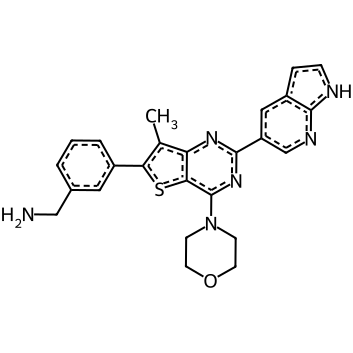 Cc1c(-c2cccc(CN)c2)sc2c(N3CCOCC3)nc(-c3cnc4[nH]ccc4c3)nc12